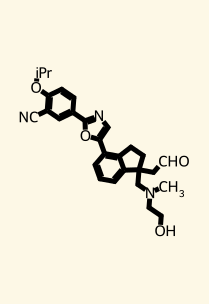 CC(C)Oc1ccc(-c2ncc(-c3cccc4c3CCC4(CC=O)CN(C)CCO)o2)cc1C#N